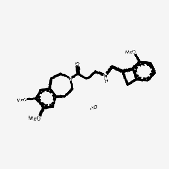 COc1cc2c(cc1OC)CCN(C(=O)CCNCC1Cc3cccc(OC)c31)CC2.Cl